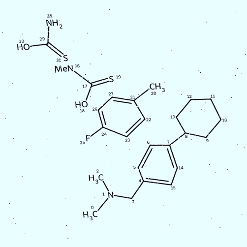 CN(C)Cc1ccc(C2CCCCC2)cc1.CNC(O)=S.Cc1ccc(F)cc1.NC(O)=S